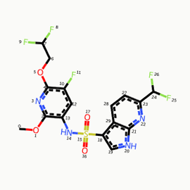 COc1nc(OCC(F)F)c(F)cc1NS(=O)(=O)c1c[nH]c2nc(C(F)F)ccc12